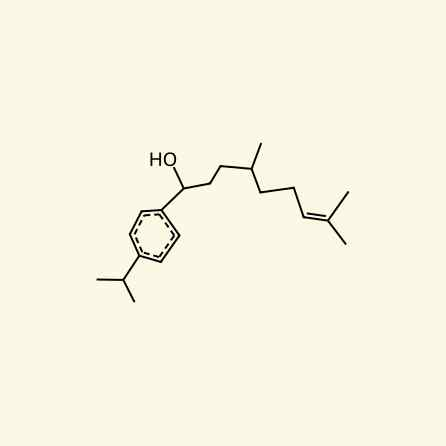 CC(C)=CCCC(C)CCC(O)c1ccc(C(C)C)cc1